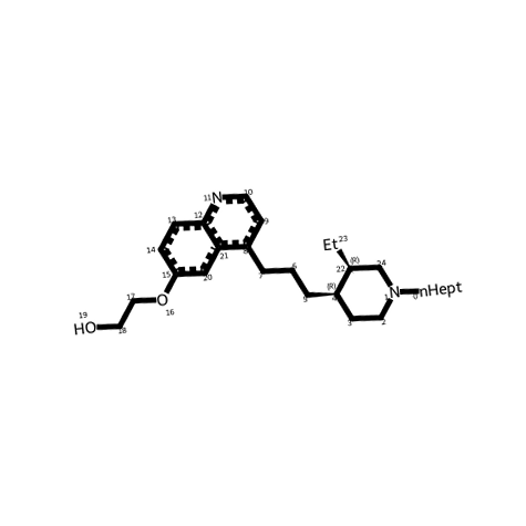 CCCCCCCN1CC[C@@H](CCCc2ccnc3ccc(OCCO)cc23)[C@@H](CC)C1